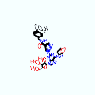 O=C(O)c1ccc(CNC(=O)c2cnn(-c3nc(N[C@@H]4CCOC4)c4ncn([C@@H]5O[C@H](CO)[C@@H](O)[C@H]5O)c4n3)c2)cc1